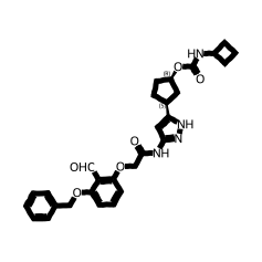 O=Cc1c(OCC(=O)Nc2cc([C@H]3CC[C@@H](OC(=O)NC4CCC4)C3)[nH]n2)cccc1OCc1ccccc1